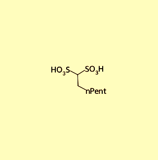 [CH2]CCCCCC(S(=O)(=O)O)S(=O)(=O)O